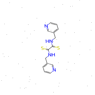 S=C(NCc1cccnc1)C(=S)NCc1cccnc1